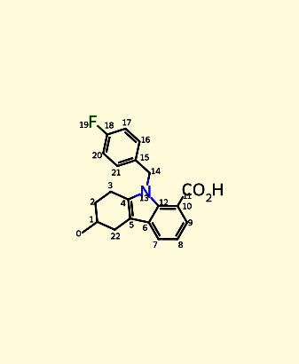 CC1CCc2c(c3cccc(C(=O)O)c3n2Cc2ccc(F)cc2)C1